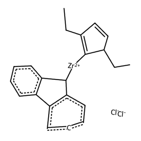 CCC1=[C]([Zr+2][CH]2c3ccccc3-c3ccccc32)C(CC)C=C1.[Cl-].[Cl-]